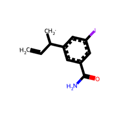 [CH2]C(C=C)c1cc(I)cc(C(N)=O)c1